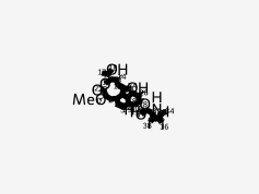 CO[C@H]1CC2C=C[C@H]3[C@H]4O[C@]2(/C(C)=C/[C@@H](C)[C@@H](C(C)O)OC1=O)[C@@H]3[C@H](O)[C@@H](C)[C@H]4OC(=O)c1[nH]c(I)c(I)c1I